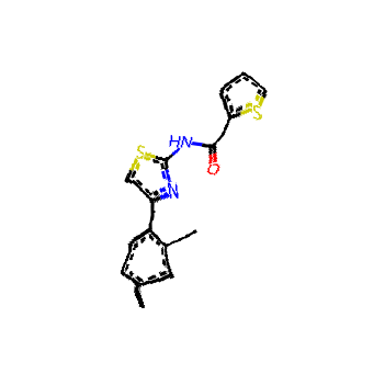 Cc1ccc(-c2csc(NC(=O)c3cccs3)n2)c(C)c1